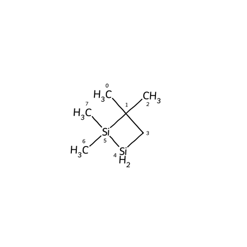 CC1(C)C[SiH2][Si]1(C)C